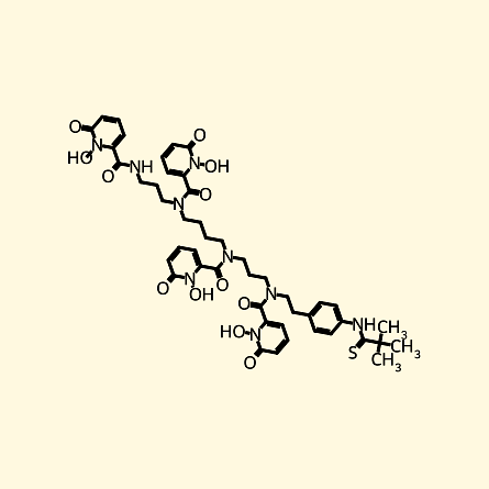 CC(C)(C)C(=S)Nc1ccc(CCN(CCCN(CCCCN(CCCNC(=O)c2cccc(=O)n2O)C(=O)c2cccc(=O)n2O)C(=O)c2cccc(=O)n2O)C(=O)c2cccc(=O)n2O)cc1